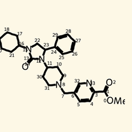 COC(=O)c1ccc(CN2CCC(N3C(=O)N(C4CCCCC4)CC3c3ccccc3)CC2)cn1